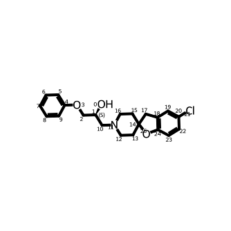 O[C@H](COc1ccccc1)CN1CCC2(CC1)Cc1cc(Cl)ccc1O2